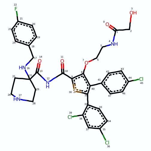 O=C(CO)NCCOc1c(C(=O)NC(=O)C2(NCc3ccc(F)cc3)CCNCC2)sc(-c2ccc(Cl)cc2Cl)c1-c1ccc(Cl)cc1